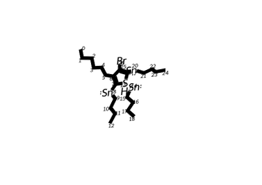 CCCCCCC1=[C]([Sn][CH2]CCC)[SH]([Sn][CH2]CCC)[C]([Sn][CH2]CCC)=C1Br